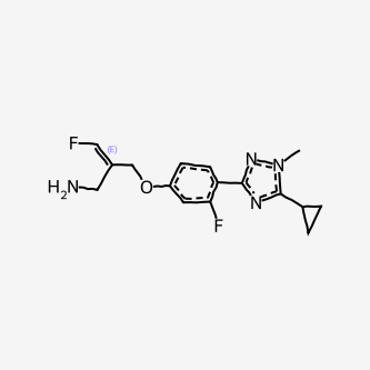 Cn1nc(-c2ccc(OC/C(=C/F)CN)cc2F)nc1C1CC1